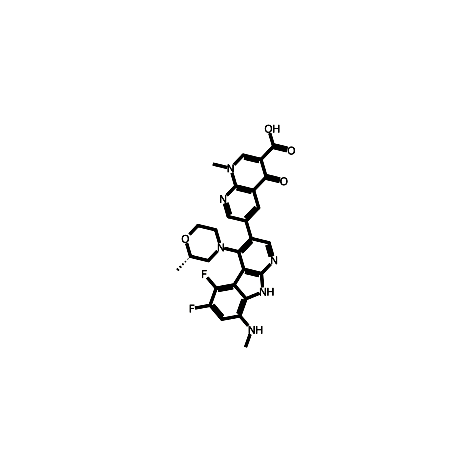 CNc1cc(F)c(F)c2c1[nH]c1ncc(-c3cnc4c(c3)c(=O)c(C(=O)O)cn4C)c(N3CCO[C@@H](C)C3)c12